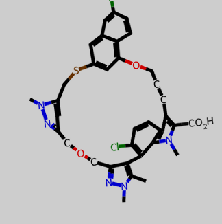 Cc1c2c(nn1C)COCc1cc(n(C)n1)CSc1cc(c3ccc(F)cc3c1)OCCCc1c(C(=O)O)n(C)c3c-2c(Cl)ccc13